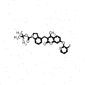 Cc1c(Cc2cccc3c2CCN3C(=O)OC(C)(C)C)c(=O)oc2cc(Oc3ncccc3F)ccc12